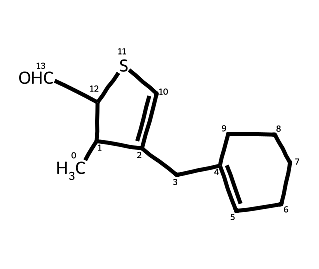 CC1C(CC2=CCCCC2)=CSC1C=O